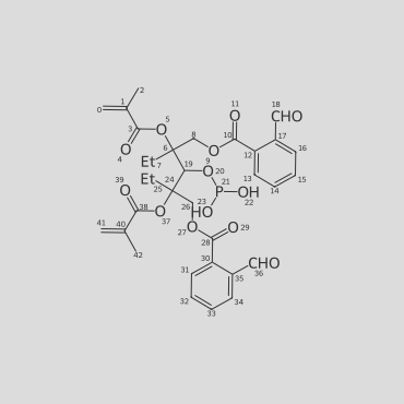 C=C(C)C(=O)OC(CC)(COC(=O)c1ccccc1C=O)C(OP(O)O)C(CC)(COC(=O)c1ccccc1C=O)OC(=O)C(=C)C